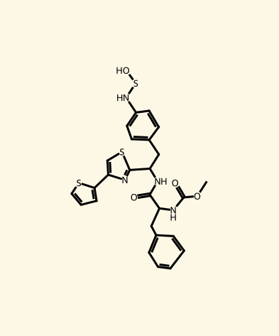 COC(=O)NC(Cc1ccccc1)C(=O)NC(Cc1ccc(NSO)cc1)c1nc(-c2cccs2)cs1